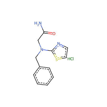 Cl.NC(=O)CN(Cc1ccccc1)c1nccs1